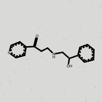 O=C(CCNCC(O)c1ccccc1)c1ccncc1